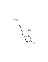 CCCCCCCc1ccc(O)cc1.[Zn]